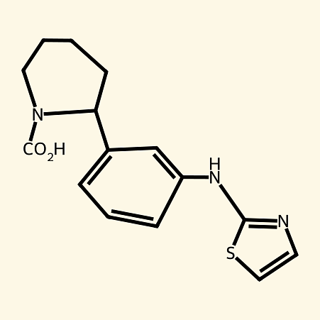 O=C(O)N1CCCCC1c1cccc(Nc2nccs2)c1